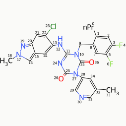 CCCc1cc(F)c(F)cc1Cn1c(Nc2cc3cn(C)nc3cc2Cl)nc(=O)n(-c2cncc(C)c2)c1=O